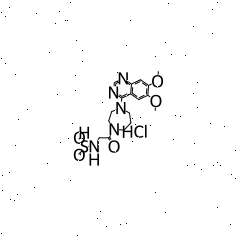 COc1cc2ncnc(N3CCCN(C(=O)CN[SH](=O)=O)CC3)c2cc1OC.Cl